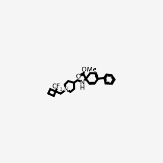 COC(=O)C1(NCC2CCN(CC3(C(F)(F)F)CCC3)CC2)C=CC(c2ccccc2)=CC1